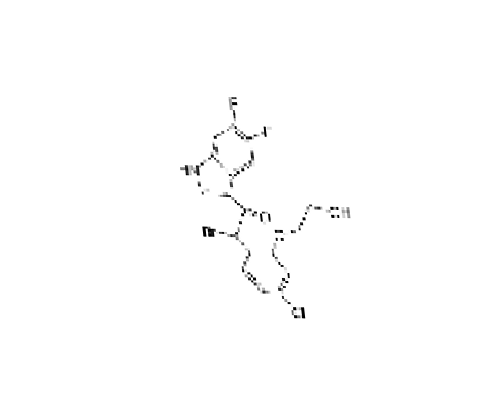 O=C(c1c[nH]c2cc(F)c(F)cc12)C(Br)c1ccc(Cl)cc1OCCO